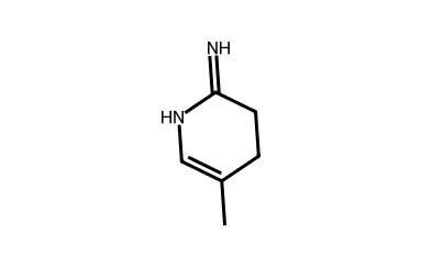 CC1=CNC(=N)CC1